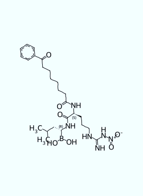 CC(C)C[C@H](NC(=O)[C@H](CCCNC(=N)N[N+](=O)[O-])NC(=O)CCCCCCC(=O)c1ccccc1)B(O)O